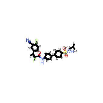 CC(=C(F)C(=O)Nc1ccc(-c2ccc(S(=O)(=O)NCC(C)C)cc2)cc1)c1ccc(F)c(C#N)c1